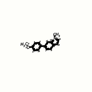 COc1ccc(-c2ccc3ccn(C)c3c2)cc1